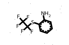 Nc1ccccc1SC(F)(F)C(F)(F)F